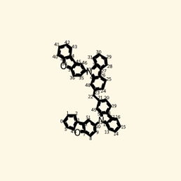 c1ccc2c(c1)oc1ccc(-n3c4ccccc4c4ccc(Cc5ccc6c7ccccc7n(-c7ccc8oc9ccccc9c8c7)c6c5)cc43)cc12